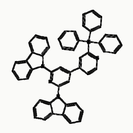 c1ccc([Si](c2ccccc2)(c2ccccc2)c2cc(-c3cc(-n4c5ccccc5c5ccccc54)nc(-n4c5ccccc5c5ccccc54)c3)ccn2)cc1